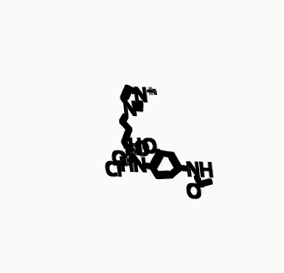 CC(=O)Nc1ccc(NS(=O)(=O)CCCn2cc[n+](C)c2)c(O)c1.[Cl-]